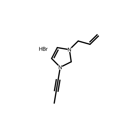 Br.C=CCN1C=CN(C#CC)C1